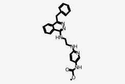 COC(=O)Nc1ccc(NCCNc2nnc(Cc3ccccc3)c3ccccc23)nc1